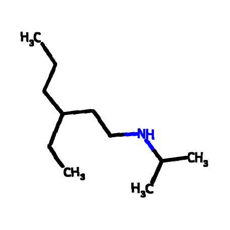 CCCC(CC)CCNC(C)C